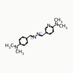 CN(C)c1ccc(/C=N/N=C/c2ccc(N(C)C)nc2)cc1